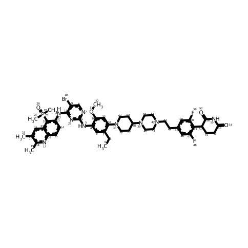 CCc1cc(Nc2ncc(Br)c(Nc3ccc4nc(C)c(C)cc4c3P(C)(C)=O)n2)c(OC)cc1N1CCC(N2CCN(CCc3cc(F)c(C4CCC(=O)NC4=O)c(F)c3)CC2)CC1